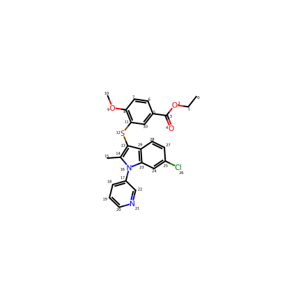 CCOC(=O)c1ccc(OC)c(Sc2c(C)n(-c3cccnc3)c3cc(Cl)ccc23)c1